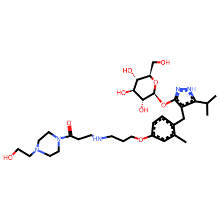 Cc1cc(OCCCNCCC(=O)N2CCN(CCO)CC2)ccc1Cc1c(O[C@@H]2O[C@H](CO)[C@@H](O)[C@H](O)[C@H]2O)n[nH]c1C(C)C